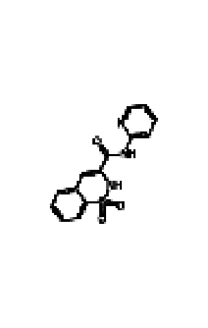 O=C(Nc1ccccn1)C1=Cc2ccccc2S(=O)(=O)N1